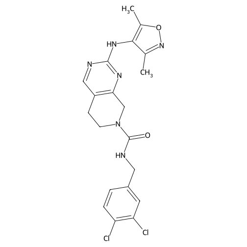 Cc1noc(C)c1Nc1ncc2c(n1)CN(C(=O)NCc1ccc(Cl)c(Cl)c1)CC2